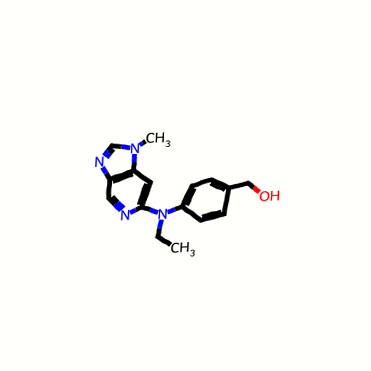 CCN(c1ccc(CO)cc1)c1cc2c(cn1)ncn2C